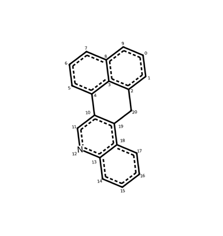 c1cc2c3c(cccc3c1)-c1cnc3ccccc3c1C2